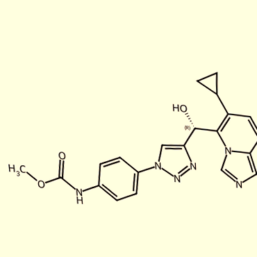 COC(=O)Nc1ccc(-n2cc([C@H](O)c3c(C4CC4)ccc4cncn34)nn2)cc1